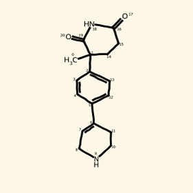 CC1(c2ccc(C3=CCNCC3)cc2)CCC(=O)NC1=O